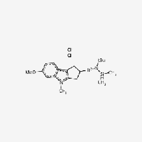 COc1ccc2c3c(n(C)c2c1)C[CH]([Ti+2][N]([SiH](C)C)C(C)(C)C)C3.[Cl-].[Cl-]